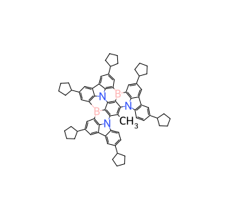 Cc1c2c3c4c5c1-n1c6ccc(C7CCCC7)cc6c6cc(C7CCCC7)cc(c61)B5c1cc(C5CCCC5)cc5c6cc(C7CCCC7)cc(c6n-4c15)B3c1cc(C3CCCC3)cc3c4cc(C5CCCC5)ccc4n-2c13